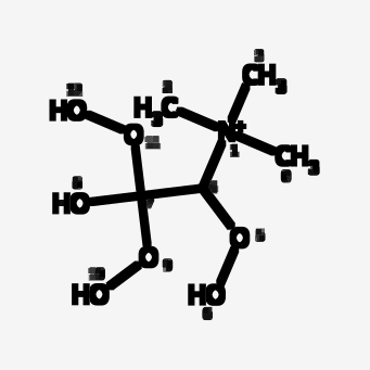 C[N+](C)(C)C(OO)C(O)(OO)OO